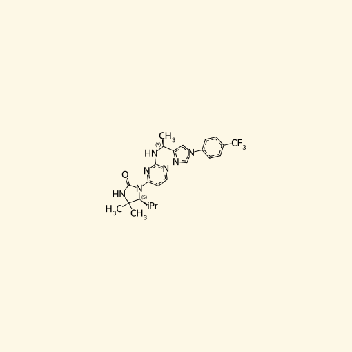 CC(C)[C@@H]1N(c2ccnc(N[C@@H](C)c3cn(-c4ccc(C(F)(F)F)cc4)cn3)n2)C(=O)NC1(C)C